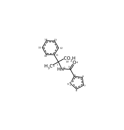 CC(NC(=O)c1cccs1)(C(=O)O)c1ccccc1